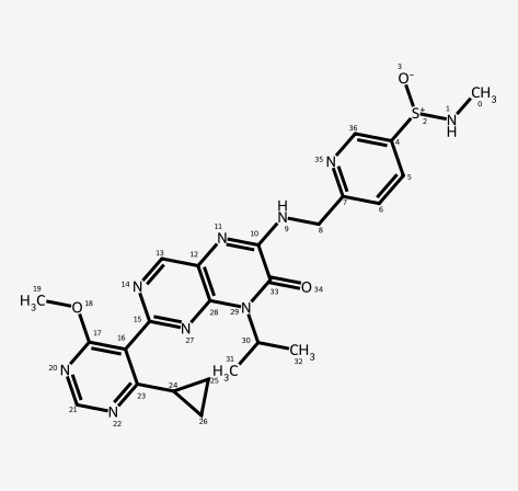 CN[S+]([O-])c1ccc(CNc2nc3cnc(-c4c(OC)ncnc4C4CC4)nc3n(C(C)C)c2=O)nc1